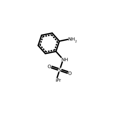 CC(C)S(=O)(=O)Nc1ccccc1N